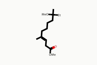 CCC(C)(CCCCC(C)=CCC(=O)OC)OC